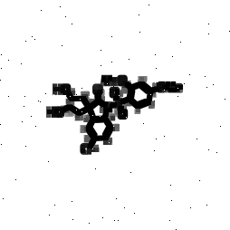 COc1ccc(S(=O)(=O)N2C(=O)C(CCO)(CCO)c3cc(Cl)ccc32)c(OC)c1